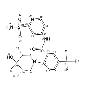 C[C@@H]1CN(c2ncc(C(F)(F)F)cc2C(=O)Nc2ccnc(S(N)(=O)=O)c2)C[C@H](C)C1(C)O